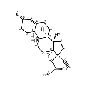 C#C[C@@]1(OC(=O)CCC)CC[C@H]2[C@@H]3CCC4=CC(=O)CC[C@@H]4[C@H]3CC[C@@]21CC